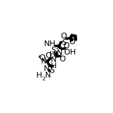 CO/N=C(\C(=O)N[C@@H]1C(=O)N2C(C(=O)O)=C(CSC(=O)c3ccco3)CS[C@H]12)c1csc(N)n1.N